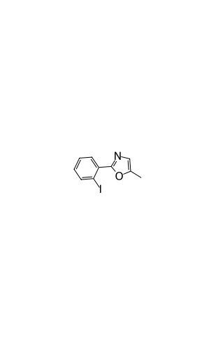 Cc1cnc(-c2ccccc2I)o1